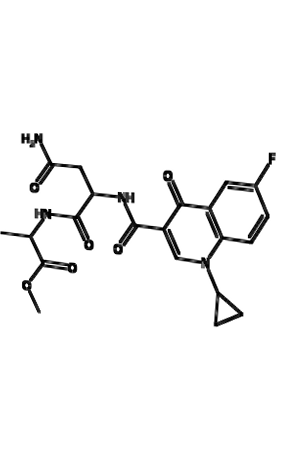 COC(=O)C(C)NC(=O)C(CC(N)=O)NC(=O)c1cn(C2CC2)c2ccc(F)cc2c1=O